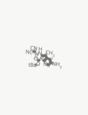 Cc1c(NN=C(C#N)C#N)n(C(=O)OC(C)(C)C)c2ncc(N)cc12